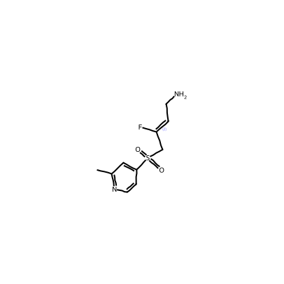 Cc1cc(S(=O)(=O)C/C(F)=C/CN)ccn1